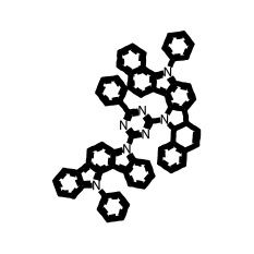 C1=CC2c3ccc4c(c3N(c3nc(-c5ccccc5)nc(-n5c6ccccc6c6c5ccc5c7ccccc7n(-c7ccccc7)c56)n3)C2c2ccccc21)c1ccc2ccccc2c1n4-c1ccccc1